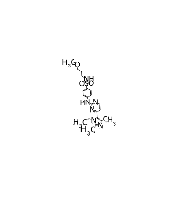 CCn1c(C)nc(C)c1-c1ccnc(Nc2ccc(S(=O)(=O)NCCCOC)cc2)n1